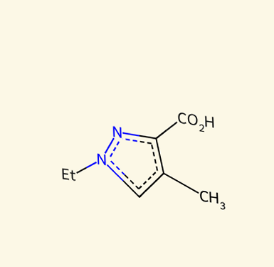 CCn1cc(C)c(C(=O)O)n1